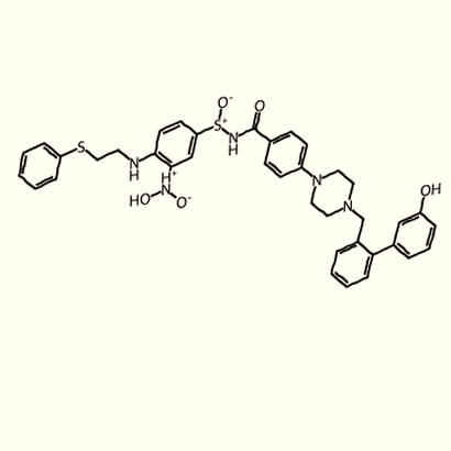 O=C(N[S+]([O-])c1ccc(NCCSc2ccccc2)c([NH+]([O-])O)c1)c1ccc(N2CCN(Cc3ccccc3-c3cccc(O)c3)CC2)cc1